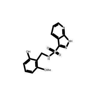 COc1cccc(O)c1CNS(=O)(=O)c1n[nH]c2ncccc12